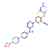 N#Cc1cc(-c2ncnc(Nc3ccc(N4CCN(C5COC5)CC4)cc3)n2)ccc1O[C@@H]1CCNC[C@@H]1F